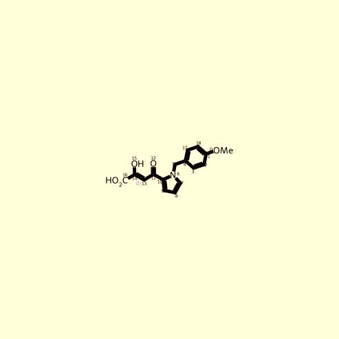 COc1ccc(Cn2cccc2C(=O)/C=C(\O)C(=O)O)cc1